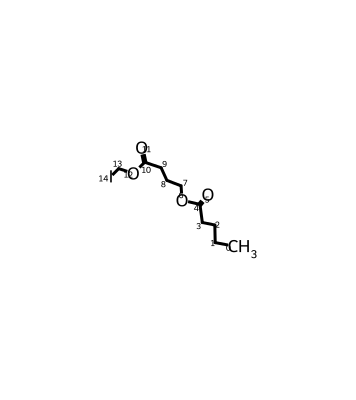 CCCCC(=O)OCCCC(=O)OCI